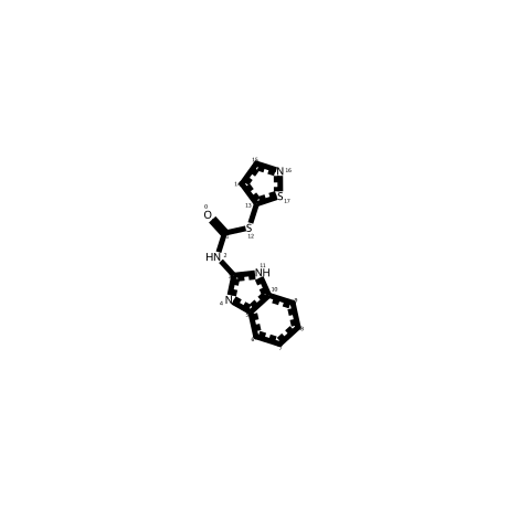 O=C(Nc1nc2ccccc2[nH]1)Sc1ccns1